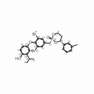 Cc1cccc([C@@H]2CCO[P@](=O)(Cc3cc(Br)c(Oc4ccc(O)c(C(C)C)c4)c(Br)c3)O2)c1